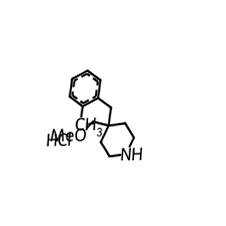 COCC1(Cc2ccccc2C)CCNCC1.Cl